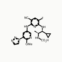 COc1ncc(Nc2nc(N[C@@H](C3CC3)[C@H](C)NC(=O)O)c(F)cc2C#N)cc1-n1ccnn1